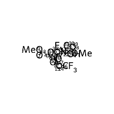 COC(=O)CC[C@H]1CN(S(=O)(=O)c2cccc(C(F)(F)F)c2)c2cc(N3CC(O)(c4c(OC)cccc4C(F)(F)F)C3)ccc2O1